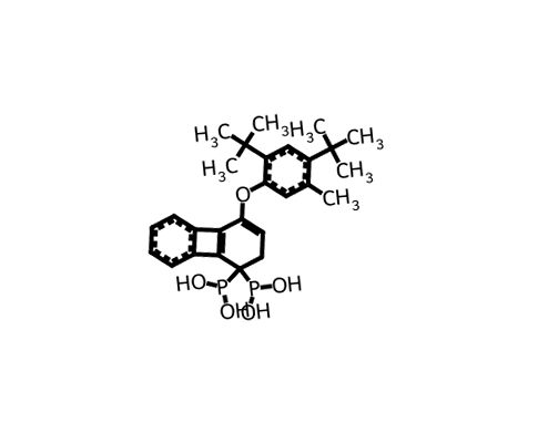 Cc1cc(OC2=CCC(P(O)O)(P(O)O)C3=C2c2ccccc23)c(C(C)(C)C)cc1C(C)(C)C